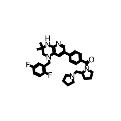 CC1(C)CN(Cc2cc(F)ccc2F)c2cc(-c3ccc(C(=O)N4CCCC4CN4CCCC4)cc3)cnc2N1